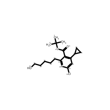 CC(C)(C)OC(=O)c1c(C2CC2)cc(Cl)nc1CCCCCO